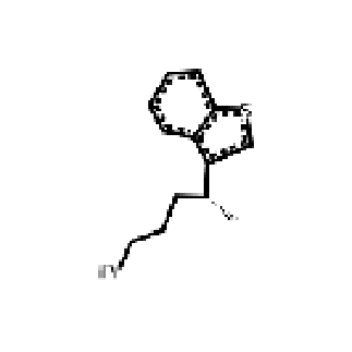 [CH2][C@H](CCCC(C)C)c1csc2ccccc12